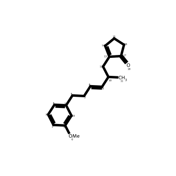 COc1cccc(CC/C=C/C(C)CC2=CCCC2=O)c1